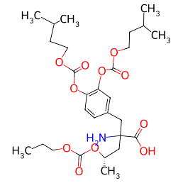 CCCOC(=O)O[C@@H](C)CC(N)(Cc1ccc(OC(=O)OCCC(C)C)c(OC(=O)OCCC(C)C)c1)C(=O)O